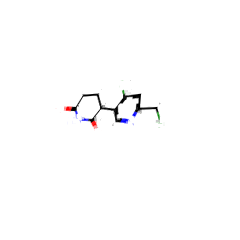 O=C1CCC(c2cnc(CBr)cc2F)C(=O)N1